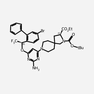 CCOC(=O)[C@@H]1CC2(CCN(c3cc(O[C@H](c4ccc(Br)cc4-c4ccccc4)C(F)(F)F)nc(N)n3)CC2)CN1C(=O)OC(C)(C)C